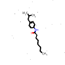 CCCCCCCC(=O)Nc1ccc(CC(C)C)cc1